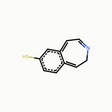 Sc1ccc2c(c1)=CC=NCC=2